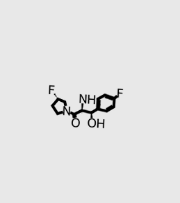 N[C@H](C(=O)N1CC[C@H](F)C1)[C@H](O)c1ccc(F)cc1